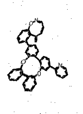 C=C1/C=C\C=N/Oc2cccc(-c3ccc4c(c3)Oc3ccccc3-c3ccccc3Oc3cc(-c5ccccn5)ccc3-4)c21